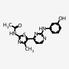 CC(=O)Nc1nc(C)c(-c2ccnc(Nc3cccc(O)c3)n2)s1